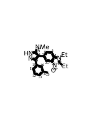 CCc1n(CC)c2ccc(-c3c(-c4cccc(C)c4)n[nH]c3NC)cc2[n+]1[O-]